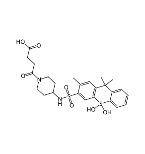 Cc1cc2c(cc1S(=O)(=O)NC1CCN(C(=O)CCC(=O)O)CC1)S(O)(O)c1ccccc1C2(C)C